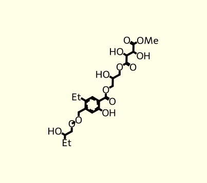 CCc1cc(C(=O)OCC(O)COC(=O)C(O)C(O)C(=O)OC)c(O)cc1COOCC(O)CC